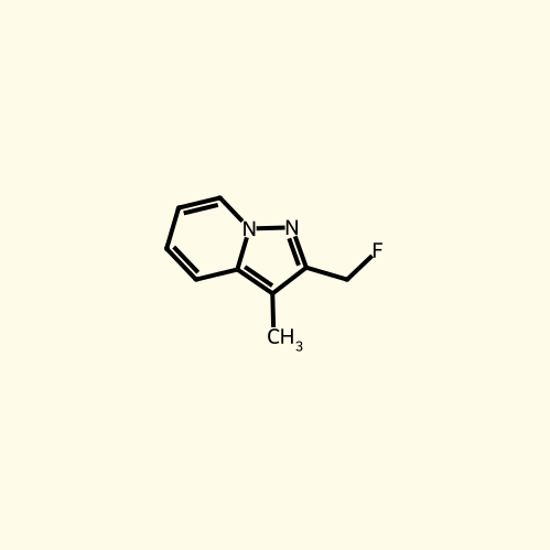 Cc1c(CF)nn2ccccc12